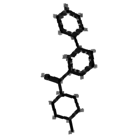 CC1CCN(C(=O)c2cccc(-c3ccncc3)n2)CC1